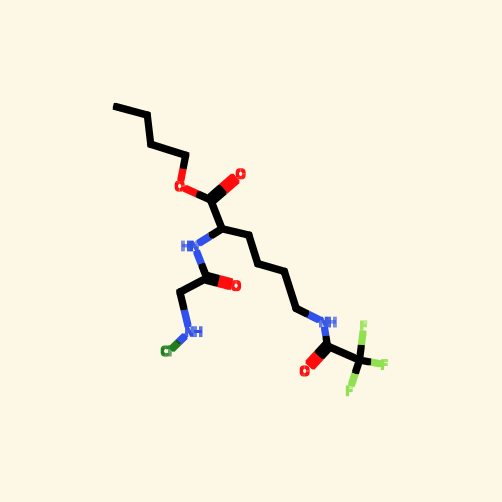 CCCCOC(=O)C(CCCCNC(=O)C(F)(F)F)NC(=O)CNCl